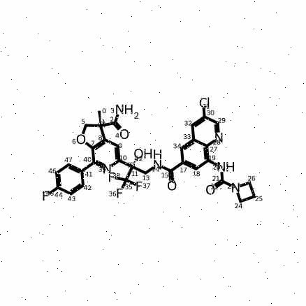 C[C@]1(C(N)=O)COc2c1cc([C@@](O)(CNC(=O)c1cc(NC(=O)N3CCC3)c3ncc(Cl)cc3c1)C(F)(F)F)nc2-c1ccc(F)cc1